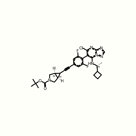 C[C@@H](Nc1c(-c2c(F)cc(C#CC3[C@H]4CN(C(=O)OC(C)(C)C)C[C@@H]34)cc2F)c(Cl)nc2ncnn12)C1CCC1